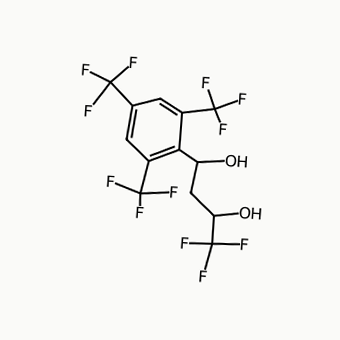 OC(CC(O)C(F)(F)F)c1c(C(F)(F)F)cc(C(F)(F)F)cc1C(F)(F)F